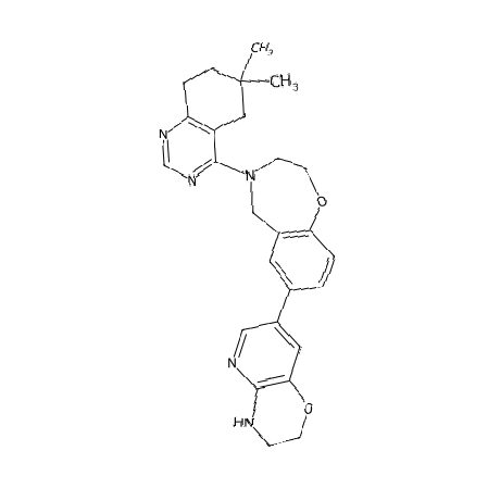 CC1(C)CCc2ncnc(N3CCOc4ccc(-c5cnc6c(c5)OCCN6)cc4C3)c2C1